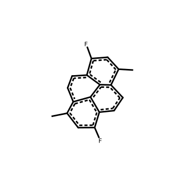 Cc1cc(F)c2ccc3c(C)cc(F)c4ccc1c2c34